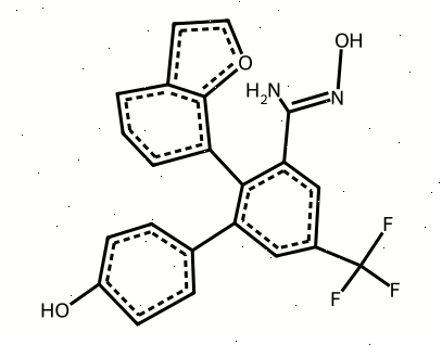 N/C(=N\O)c1cc(C(F)(F)F)cc(-c2ccc(O)cc2)c1-c1cccc2ccoc12